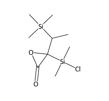 CC(C1([Si](C)(C)Cl)OC1=O)[Si](C)(C)C